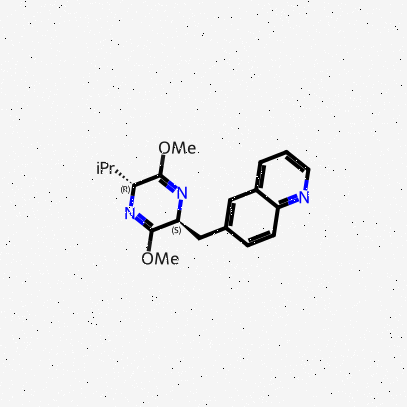 COC1=N[C@H](C(C)C)C(OC)=N[C@H]1Cc1ccc2ncccc2c1